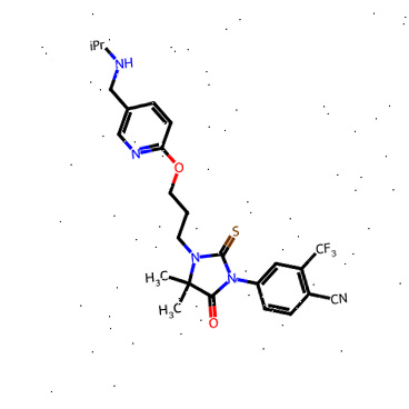 CC(C)NCc1ccc(OCCCN2C(=S)N(c3ccc(C#N)c(C(F)(F)F)c3)C(=O)C2(C)C)nc1